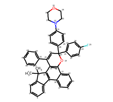 CC1(C)c2ccccc2-c2c1c1c(c3ccccc23)OC(c2ccc(F)cc2)(c2ccc(N3CCOCC3)cc2)C=C1c1ccccc1